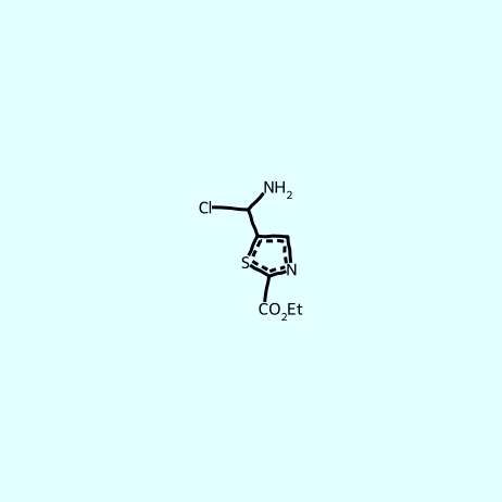 CCOC(=O)c1ncc(C(N)Cl)s1